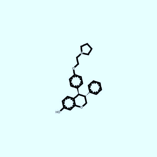 Oc1ccc2c(c1)OC[C@@H](c1ccccc1)[C@@H]2c1ccc(OCCN2CCCC2)cc1